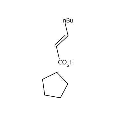 C1CCCC1.CCCCC=CC(=O)O